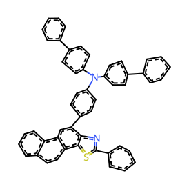 c1ccc(-c2ccc(N(c3ccc(-c4ccccc4)cc3)c3ccc(-c4cc5c6ccccc6ccc5c5sc(-c6ccccc6)nc45)cc3)cc2)cc1